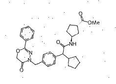 COC(=O)[C@H]1CC[C@H](NC(=O)C(c2ccc(CN3N=C(c4ccccc4)OCC3=O)cc2)C2CCCC2)C1